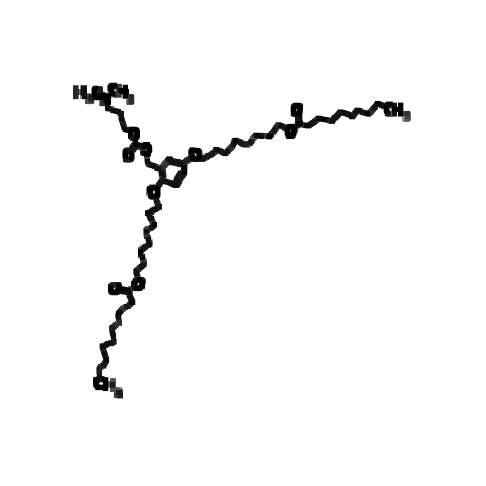 CCCCCCCCCC(=O)OCCCCCCCCOc1ccc(OCCCCCCCCOC(=O)CCCCCCCCC)c(COC(=O)OCCCN(C)C)c1